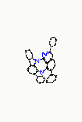 c1ccc(-c2cccc(-n3c4ccccc4c4ccc5c6ccccc6n(-c6ccccc6-c6ccccc6)c5c43)n2)cc1